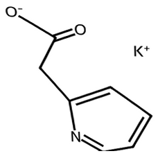 O=C([O-])Cc1ccccn1.[K+]